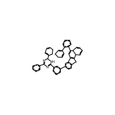 C1=CCCC(C2N=C(c3ccccc3)N=C(c3cccc(-c4ccc5c(c4)C4=C(C5)C5C=CC=CC5C(c5ccccc5C5=CCCC=C5)=C4)c3)N2)=C1